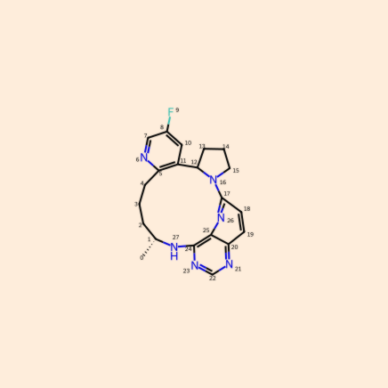 C[C@@H]1CCCc2ncc(F)cc2C2CCCN2c2ccc3ncnc(c3n2)N1